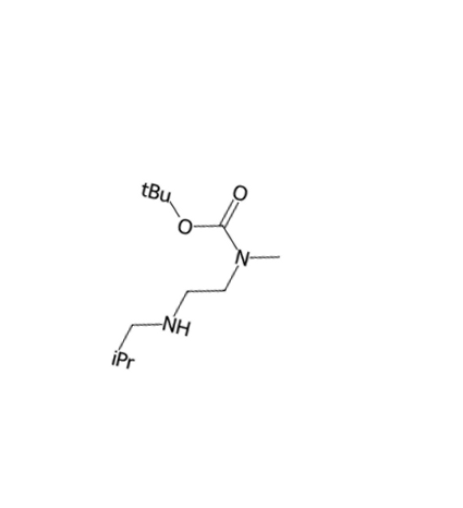 CC(C)CNCCN(C)C(=O)OC(C)(C)C